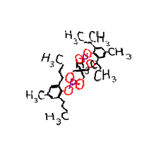 CCCCc1cc(C)cc(CCCC)c1OP1OCC2(CO1)COP(Oc1c(C(C)CC)cc(C)cc1C(C)CC)OC2